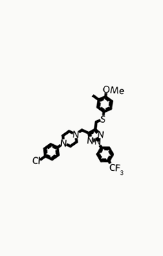 COc1ccc(SCc2nn(-c3ccc(C(F)(F)F)cc3)nc2CN2CCN(c3ccc(Cl)cc3)CC2)cc1C